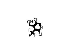 OCc1c(Cl)cnc(Cl)c1C(F)(F)F